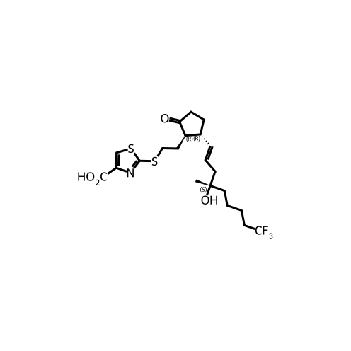 C[C@@](O)(CC=C[C@H]1CCC(=O)[C@@H]1CCSc1nc(C(=O)O)cs1)CCCCC(F)(F)F